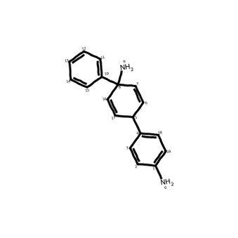 Nc1ccc(C2C=CC(N)(c3ccccc3)C=C2)cc1